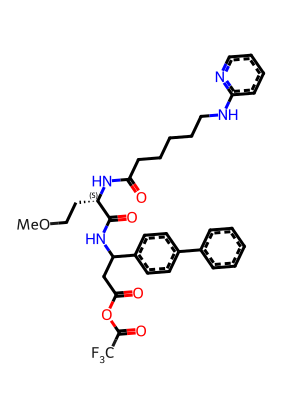 COCC[C@H](NC(=O)CCCCCNc1ccccn1)C(=O)NC(CC(=O)OC(=O)C(F)(F)F)c1ccc(-c2ccccc2)cc1